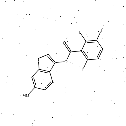 O=C(OC1=CCc2cc(O)ccc21)c1c(I)ccc(I)c1I